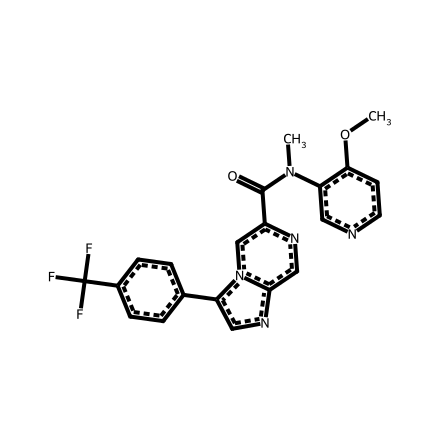 COc1ccncc1N(C)C(=O)c1cn2c(-c3ccc(C(F)(F)F)cc3)cnc2cn1